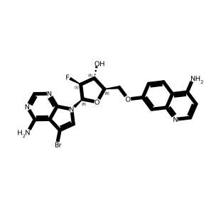 Nc1ccnc2cc(OC[C@H]3O[C@@H](n4cc(Br)c5c(N)ncnc54)[C@@H](F)[C@@H]3O)ccc12